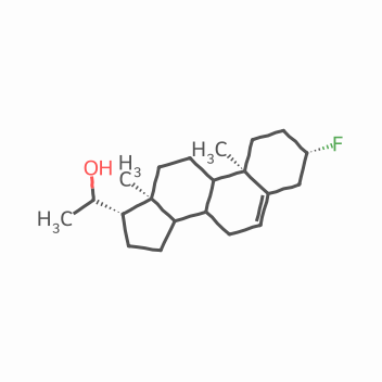 CC(O)[C@H]1CCC2C3CC=C4C[C@@H](F)CC[C@]4(C)C3CC[C@@]21C